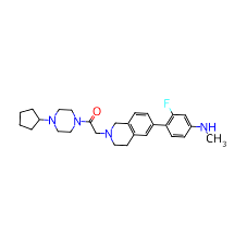 CNc1ccc(-c2ccc3c(c2)CCN(CC(=O)N2CCN(C4CCCC4)CC2)C3)c(F)c1